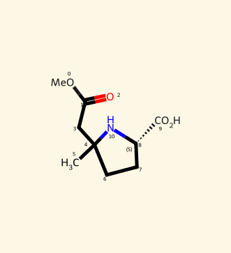 COC(=O)CC1(C)CC[C@@H](C(=O)O)N1